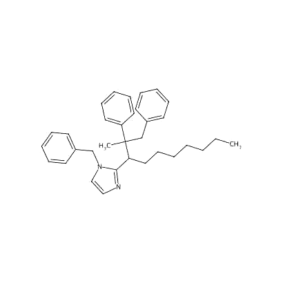 CCCCCCCC(c1nccn1Cc1ccccc1)C(C)(Cc1ccccc1)c1ccccc1